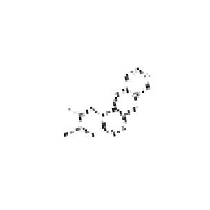 CC(=Cc1cccc2cc3ccccc3cc12)C(=O)O